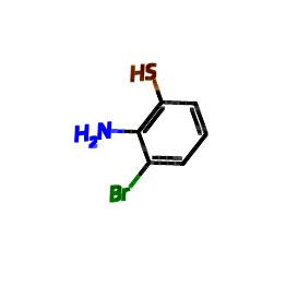 Nc1c(S)cccc1Br